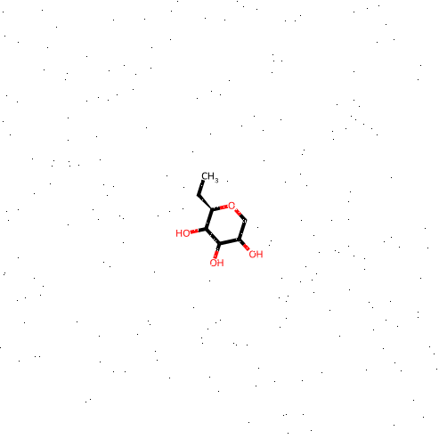 CC[C@H]1OCC(O)C(O)C1O